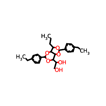 CCCC1OC(c2ccc(CC)cc2)OC2C(C(O)CO)OC(c3ccc(CC)cc3)OC12